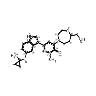 Cn1nc(-c2n[nH]c3ccc(OC4(C)CC4)cc23)cc(N2CCOC(CO)CC2)c1=O